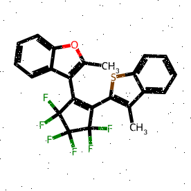 Cc1oc2ccccc2c1C1=C(c2sc3ccccc3c2C)C(F)(F)C(F)(F)C1(F)F